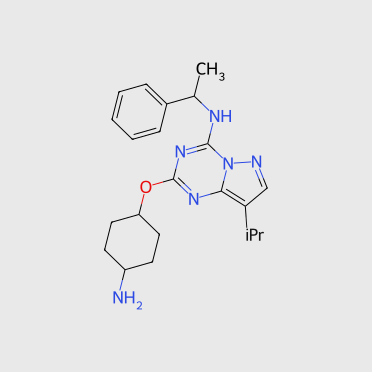 CC(C)c1cnn2c(NC(C)c3ccccc3)nc(OC3CCC(N)CC3)nc12